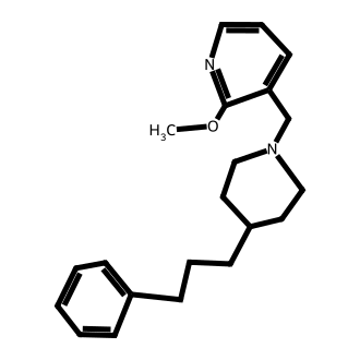 COc1ncccc1CN1CCC(CCCc2ccccc2)CC1